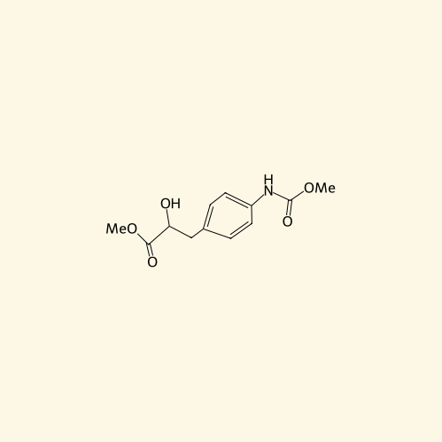 COC(=O)Nc1ccc(CC(O)C(=O)OC)cc1